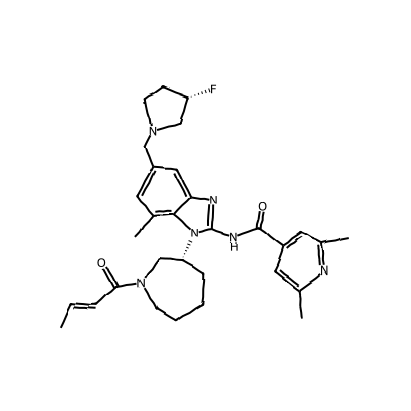 C/C=C/C(=O)N1CCCC[C@@H](n2c(NC(=O)c3cc(C)nc(C)c3)nc3cc(CN4CC[C@H](F)C4)cc(C)c32)C1